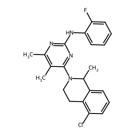 Cc1nc(Nc2ccccc2F)nc(N2CCc3c(Cl)cccc3C2C)c1C